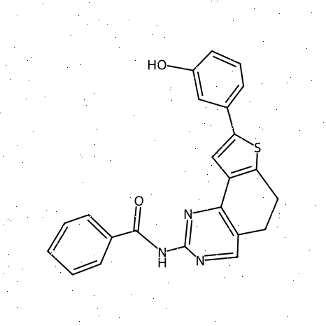 O=C(Nc1ncc2c(n1)-c1cc(-c3cccc(O)c3)sc1CC2)c1ccccc1